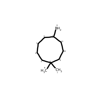 BC1CCCCC(C)(C)CCC1